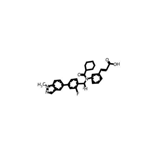 [2H]C(c1ccc(-c2ccc3c(cnn3C)c2)cc1F)N(C(=O)C1CCCCC1)c1cccc(/C=C/C(=O)O)c1